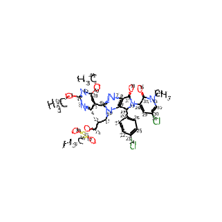 COc1ncc(-c2nc3c(n2CCCOS(C)(=O)=O)C(c2ccc(Cl)cc2)N(c2cc(Cl)cn(C)c2=O)C3=O)c(OC)n1